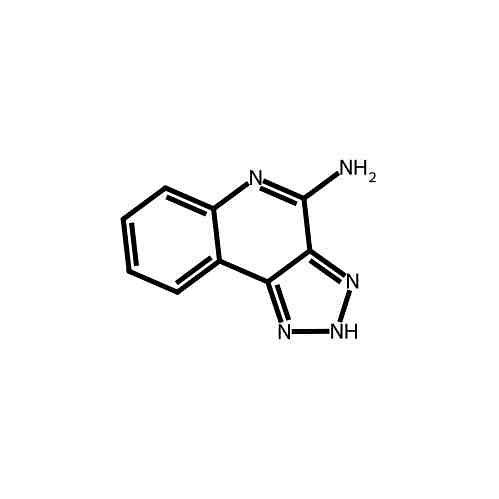 Nc1nc2ccccc2c2n[nH]nc12